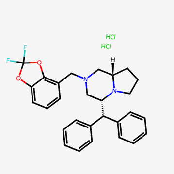 Cl.Cl.FC1(F)Oc2cccc(CN3C[C@@H]4CCCN4[C@H](C(c4ccccc4)c4ccccc4)C3)c2O1